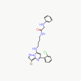 O=C(CNc1ccccc1)NCCCCNc1cc(-c2ccccc2Cl)nc2c(Br)cnn12